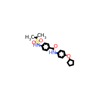 CC(C)S(=O)(=O)Nc1ccc(C(=O)Nc2ccc(OC3CCCC3)cc2)cc1